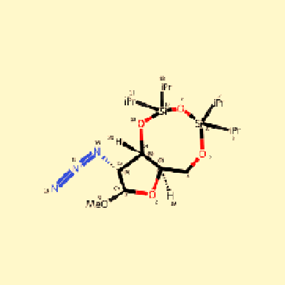 CO[C@@H]1O[C@@H]2CO[Si](C(C)C)(C(C)C)O[Si](C(C)C)(C(C)C)O[C@H]2[C@H]1N=[N+]=[N-]